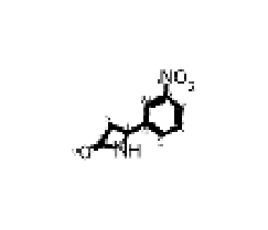 O=C1CC(c2cccc([N+](=O)[O-])c2)N1